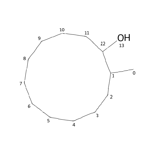 CC1CCCCCCCCCCC1O